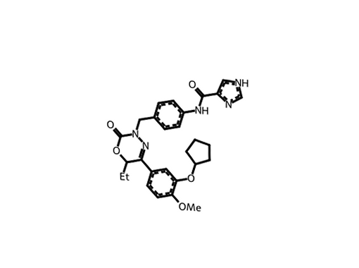 CCC1OC(=O)N(Cc2ccc(NC(=O)c3c[nH]cn3)cc2)N=C1c1ccc(OC)c(OC2CCCC2)c1